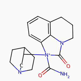 NC(=O)[N+]1(C2CN3CCC2CC3)C(=O)N2CCCc3cccc1c32